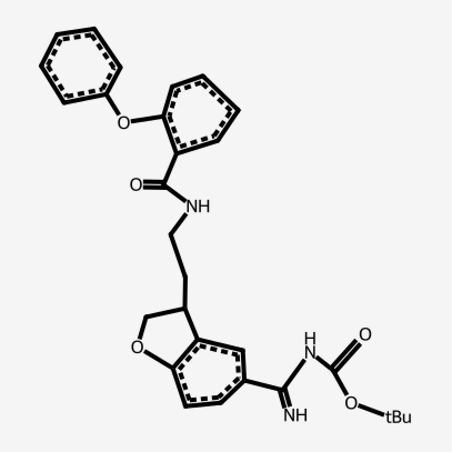 CC(C)(C)OC(=O)NC(=N)c1ccc2c(c1)C(CCNC(=O)c1ccccc1Oc1ccccc1)CO2